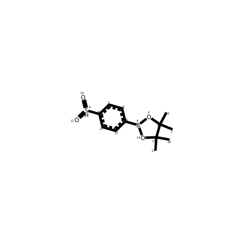 CC1(C)OB(c2ccc([SH](=O)=O)cc2)OC1(C)C